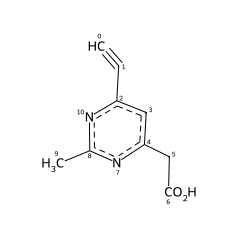 C#Cc1cc(CC(=O)O)nc(C)n1